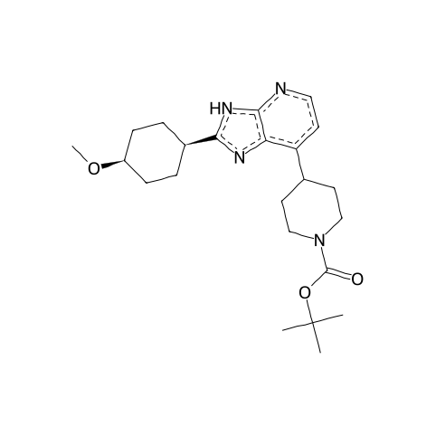 CO[C@H]1CC[C@@H](c2nc3c(C4CCN(C(=O)OC(C)(C)C)CC4)ccnc3[nH]2)CC1